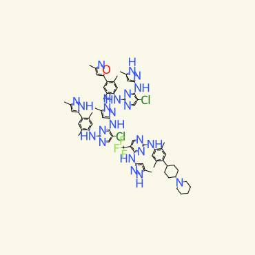 Cc1cc(-c2cc(C)c(Nc3ncc(Cl)c(Nc4cc(C)[nH]n4)n3)cc2C)[nH]n1.Cc1cc(-c2cc(C)c(Nc3ncc(Cl)c(Nc4cc(C)[nH]n4)n3)cc2C)on1.Cc1cc(Nc2nc(Nc3cc(C)c(C4CCC(N5CCCCC5)CC4)cc3C)ncc2C(F)(F)F)n[nH]1